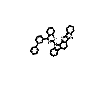 c1ccc(-c2cccc(-c3nc(-n4c5ccccc5c5ccc6c7sc8ccccc8c7sc6c54)nc4ccccc34)c2)cc1